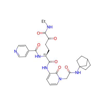 CCNC(=O)C(=O)CC[C@H](NC(=O)c1ccncc1)C(=O)Nc1cccn(CC(=O)NC23CCC(CC2)C3)c1=O